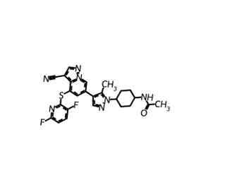 CC(=O)NC1CCC(n2ncc(-c3cc(Sc4nc(F)ccc4F)c4c(C#N)cnn4c3)c2C)CC1